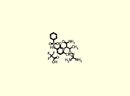 Cc1ccc(NS(=O)(=O)c2ccccc2)c(=O)n1C(C(N)=O)C(C)ON=C(N)N.O=C(O)C(F)(F)F